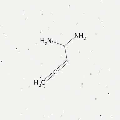 C=C=CC(N)N